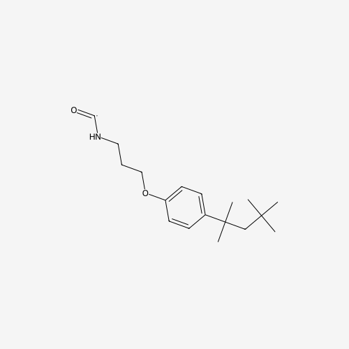 CC(C)(C)CC(C)(C)c1ccc(OCCCN[C]=O)cc1